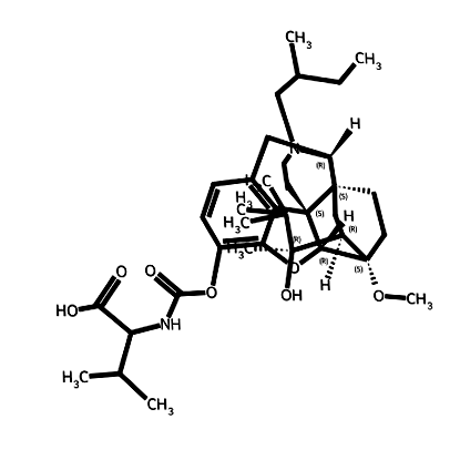 CCC(C)CN1CC[C@]23c4c5ccc(OC(=O)NC(C(=O)O)C(C)C)c4O[C@H]2[C@]2(OC)CC[C@@]3(C[C@@H]2[C@@](C)(O)C(C)(C)C)[C@H]1C5